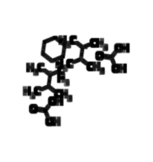 C1CCCCC1.C[C](C)C(C)C.C[C](C)C(C)C.O=C(O)O.O=C(O)O